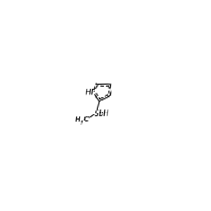 [CH3][SbH][c]1ccc[pH]1